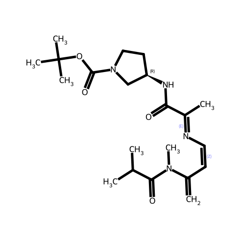 C=C(/C=C\N=C(/C)C(=O)N[C@@H]1CCN(C(=O)OC(C)(C)C)C1)N(C)C(=O)C(C)C